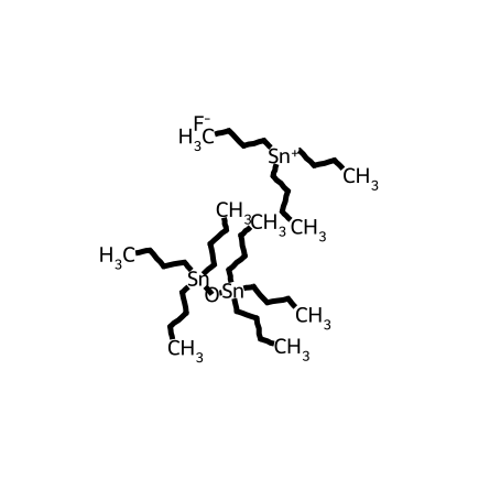 CCC[CH2][Sn+]([CH2]CCC)[CH2]CCC.CCC[CH2][Sn]([CH2]CCC)([CH2]CCC)[O][Sn]([CH2]CCC)([CH2]CCC)[CH2]CCC.[F-]